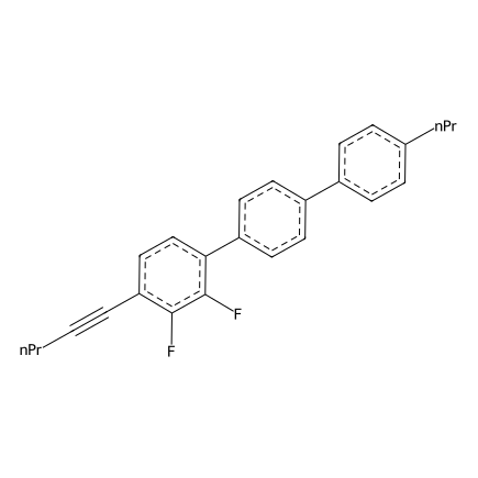 CCCC#Cc1ccc(-c2ccc(-c3ccc(CCC)cc3)cc2)c(F)c1F